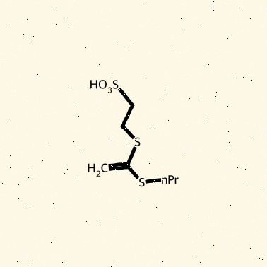 C=C(SCCC)SCCS(=O)(=O)O